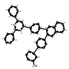 N#Cc1cccc(-c2ccc(-c3cc4ccccc4cc3-c3ccc(-c4cc(-c5ccccc5)nc(-c5ccccc5)n4)cc3)cc2)c1